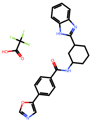 O=C(NC1CCCC(c2nc3ccccc3[nH]2)C1)c1ccc(-c2cnco2)cc1.O=C(O)C(F)(F)F